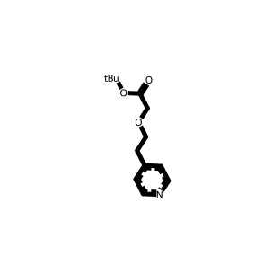 CC(C)(C)OC(=O)COCCc1ccncc1